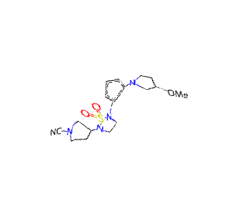 COC1CCN(c2cccc(N3CCN(C4CCN(C#N)C4)S3(=O)=O)c2)C1